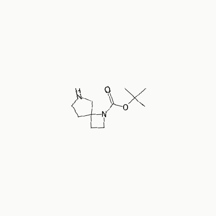 CC(C)(C)OC(=O)N1CCC12CCNC2